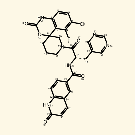 O=C1Nc2ccc(Cl)c(F)c2C2(CCCN(C(=O)[C@H](Cc3cncnc3)NC(=O)c3ccc4[nH]c(=O)ccc4c3)C2)O1